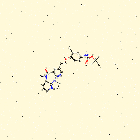 CCN1c2ncc(CCOc3ccc(NC(=O)OC(C)(C)C)cc3C)cc2C(=O)N(C)c2cccnc21